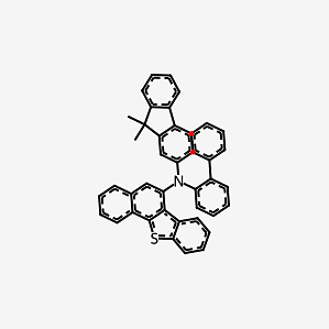 CC1(C)c2ccccc2-c2ccc(N(c3ccccc3-c3ccccc3)c3cc4ccccc4c4sc5ccccc5c34)cc21